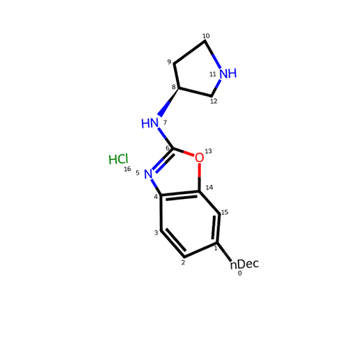 CCCCCCCCCCc1ccc2nc(N[C@H]3CCNC3)oc2c1.Cl